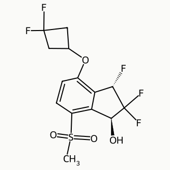 CS(=O)(=O)c1ccc(OC2CC(F)(F)C2)c2c1[C@H](O)C(F)(F)[C@H]2F